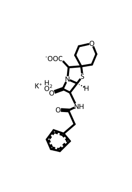 O.O=C(Cc1ccccc1)NC1C(=O)N2C(C(=O)[O-])C3(CCOCC3)S[C@@H]12.[K+]